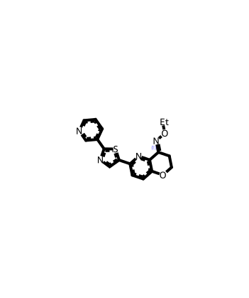 CCO/N=C1\CCOc2ccc(-c3cnc(-c4cccnc4)s3)nc21